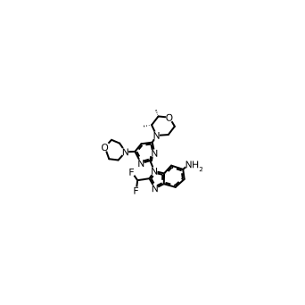 C[C@@H]1OCCN(c2cc(N3CCOCC3)nc(-n3c(C(F)F)nc4ccc(N)cc43)n2)[C@@H]1C